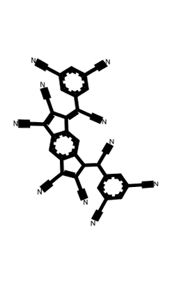 N#CC1=C(C#N)c2cc3c(cc2/C1=C(\C#N)c1cc(C#N)cc(C#N)c1)C(C(C#N)c1cc(C#N)cc(C#N)c1)C(C#N)=C3C#N